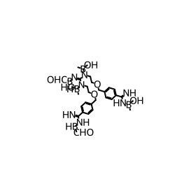 CB(O)NC(=N)c1ccc(COCCN(B(C)O)/C(=N/BC=O)N(CCOCc2ccc(C(=N)NBC=O)cc2)B(C)O)cc1